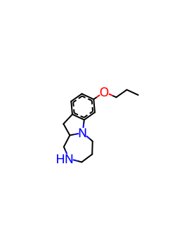 CCCOc1ccc2c(c1)N1CCCNCC1C2